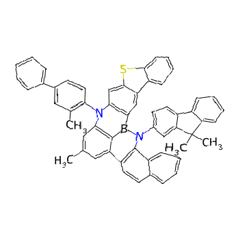 Cc1cc2c3c(c1)N(c1ccc(-c4ccccc4)cc1C)c1cc4sc5ccccc5c4cc1B3N(c1ccc3c(c1)C(C)(C)c1ccccc1-3)c1c-2ccc2ccccc12